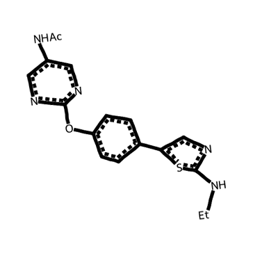 CCNc1ncc(-c2ccc(Oc3ncc(NC(C)=O)cn3)cc2)s1